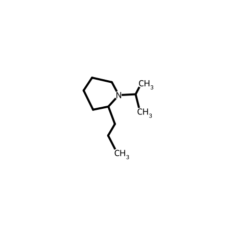 CCCC1CCCCN1C(C)C